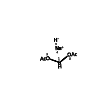 CC(=O)OBOC(C)=O.[H-].[Na+]